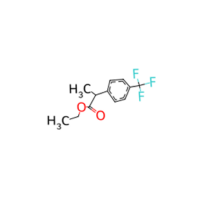 CCOC(=O)C(C)c1ccc(C(F)(F)F)cc1